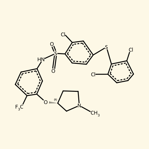 CN1CC[C@@H](Oc2cc(NS(=O)(=O)c3ccc(Sc4c(Cl)cccc4Cl)cc3Cl)ccc2C(F)(F)F)C1